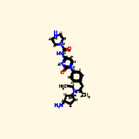 CCN(C(C)Cc1ccc(-n2ccc(NC(=O)N3CCNCC3)nc2=O)cc1)[C@H]1CC[C@@H](N)C1